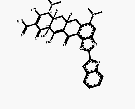 CN(C)c1cc2nc(-c3cc4ccccc4o3)oc2c2c1C[C@H]1C[C@H]3[C@H](N(C)C)C(O)=C(C(N)=O)C(=O)[C@@]3(O)C(O)=C1C2=O